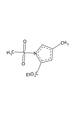 CCOC(=O)c1cc(C)cn1S(C)(=O)=O